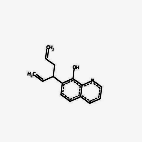 C=CCC(C=C)c1ccc2cccnc2c1O